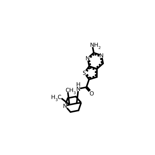 CC1(C)C(NC(=O)c2cc3cnc(N)nc3s2)C2CCN1CC2